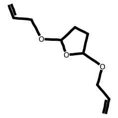 C=CCOC1CCC(OCC=C)O1